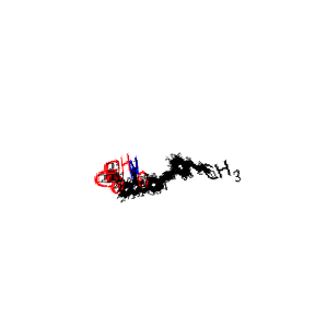 CCCCc1ccc(C#Cc2ccc(CC(Cc3ccc(OCC(=O)O)cc3)C(=O)CC#N)cc2)cc1